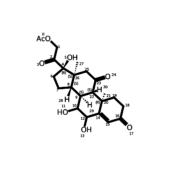 CC(=O)OCC(=O)[C@@]1(O)CC[C@H]2[C@@H]3C(O)C(O)C4=CC(=O)CC[C@]4(C)[C@H]3C(=O)C[C@@]21C